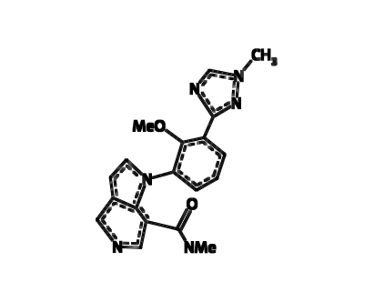 CNC(=O)c1cncc2ccn(-c3cccc(-c4ncn(C)n4)c3OC)c12